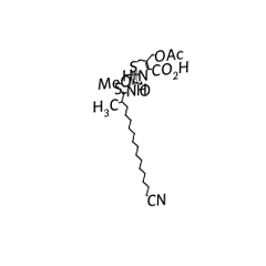 CO[C@@]1(NC(=S)C(C)CCCCCCCCCCCCCCC#N)C(=O)N2C(C(=O)O)=C(COC(C)=O)CS[C@@H]21